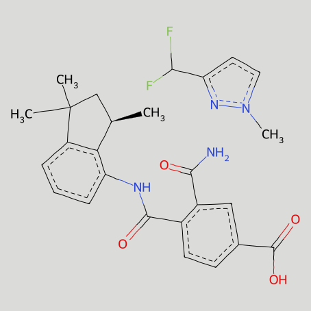 C[C@@H]1CC(C)(C)c2cccc(NC(=O)c3ccc(C(=O)O)cc3C(N)=O)c21.Cn1ccc(C(F)F)n1